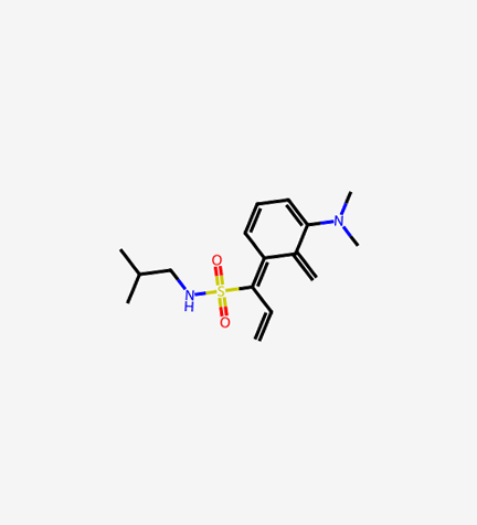 C=C/C(=c1/cccc(N(C)C)c1=C)S(=O)(=O)NCC(C)C